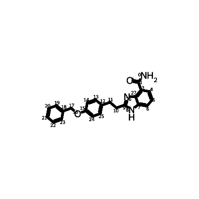 NC(=O)c1cccc2[nH]c([CH]Cc3ccc(OCc4ccccc4)cc3)nc12